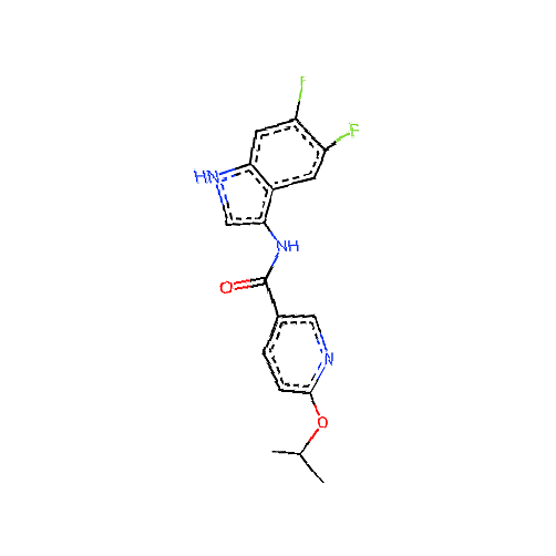 CC(C)Oc1ccc(C(=O)Nc2c[nH]c3cc(F)c(F)cc23)cn1